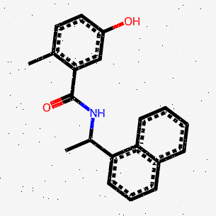 Cc1ccc(O)cc1C(=O)NC(C)c1cccc2ccccc12